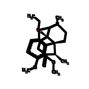 CCO[C@@]12CCC(=O)[C@@H](C)[C@@]13CCN(C)C2Cc1ccc(OC)c(OC)c13